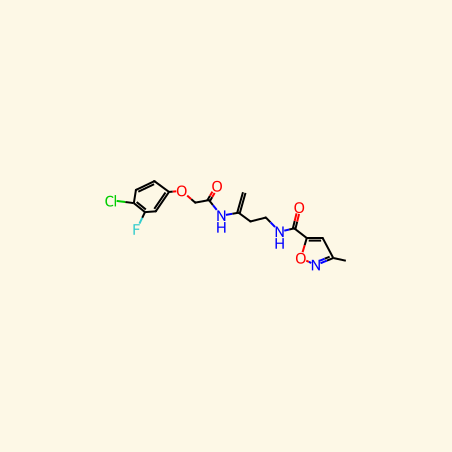 C=C(CCNC(=O)c1cc(C)no1)NC(=O)COc1ccc(Cl)c(F)c1